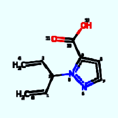 C=CC(C=C)n1nccc1C(=O)O